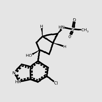 CS(=O)(=O)N[C@H]1[C@@H]2C[C@](O)(c3cc(Cl)cc4[nH]ncc34)C[C@@H]21